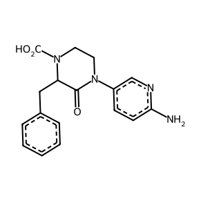 Nc1ccc(N2CCN(C(=O)O)C(Cc3ccccc3)C2=O)cn1